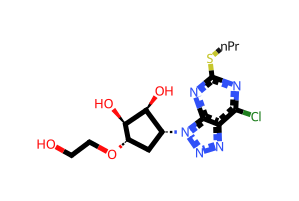 CCCSc1nc(Cl)c2nnn([C@@H]3C[C@H](OCCO)[C@@H](O)[C@H]3O)c2n1